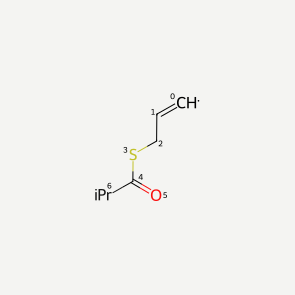 [CH]=CCSC(=O)C(C)C